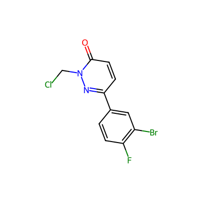 O=c1ccc(-c2ccc(F)c(Br)c2)nn1CCl